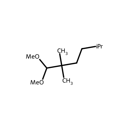 COC(OC)C(C)(C)CCC(C)C